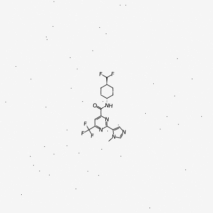 Cn1cncc1-c1nc(C(=O)N[C@H]2CC[C@H](C(F)F)CC2)cc(C(F)(F)F)n1